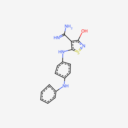 N=C(N)c1c(O)nsc1Nc1ccc(Nc2ccccc2)cc1